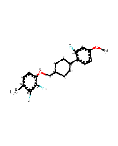 CCOc1ccc(C2CCC(COc3ccc(C)c(F)c3F)CC2)c(F)c1